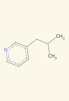 CC(C)Cc1cc[c]nc1